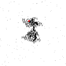 CCOP(C)(=O)C(N(OC(CC(C)(C)C(=O)O)C(=O)OCCCCOC(=O)C(CC(C)(C)C(=O)O)ON(C(C(C)(C)C)P(=O)(OCC)OCC)C(C)(C)C)C(C)(C)C)C(C)(C)C